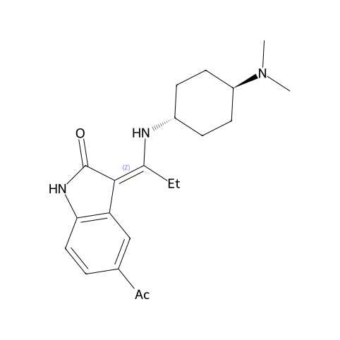 CC/C(N[C@H]1CC[C@H](N(C)C)CC1)=C1/C(=O)Nc2ccc(C(C)=O)cc21